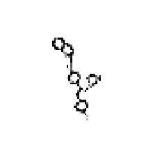 Clc1ccc(C=C(Cn2cncn2)c2ccc(OCc3ccc4ccccc4n3)cc2)cc1